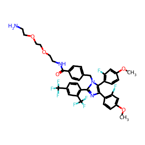 COc1ccc(-c2nc(-c3ccc(C(F)(F)F)cc3C(F)(F)F)n(Cc3ccc(C(=O)NCCOCCOCCN)cc3)c2-c2ccc(OC)cc2F)c(F)c1